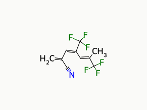 C=C(C#N)/C=C(\C=C(/C)C(F)(F)F)C(F)(F)F